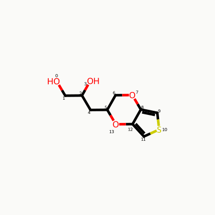 OCC(O)CC1COc2cscc2O1